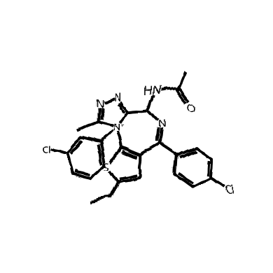 CCc1cc2c(s1)[N+]1(c3cccc(Cl)c3)C(C)=NN=C1C(NC(C)=O)N=C2c1ccc(Cl)cc1